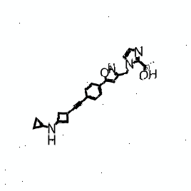 C[C@H](O)c1nccn1Cc1cc(-c2ccc(C#CC3CC(NC4CC4)C3)cc2)on1